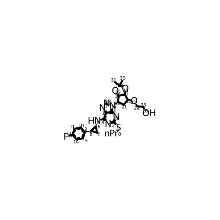 CCCSc1nc(N[C@@H]2C[C@H]2c2ccc(F)cc2)c2nnn([C@@H]3C[C@H](OCCO)C4OC(C)(C)OC43)c2n1